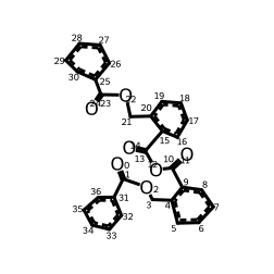 O=C(OCc1ccccc1C(=O)OC(=O)c1ccccc1COC(=O)c1ccccc1)c1ccccc1